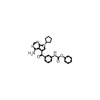 Nc1ncnc2c1c(C(=O)c1cccc(NC(=O)Oc3ccccc3)c1)cn2C1CCCC1